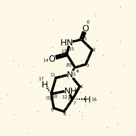 O=C1CC[C@@H](N2C[C@H]3CC[C@@H](C2)N3)C(=O)N1